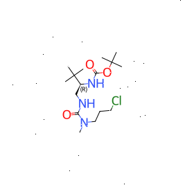 CN(CCCCl)C(=O)NC[C@H](NC(=O)OC(C)(C)C)C(C)(C)C